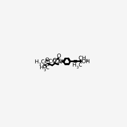 CCOC(=O)C(C)(CC1CN(c2ccc(C#CC(C)(C)O)cc2)C(=O)O1)S(C)(=O)=O